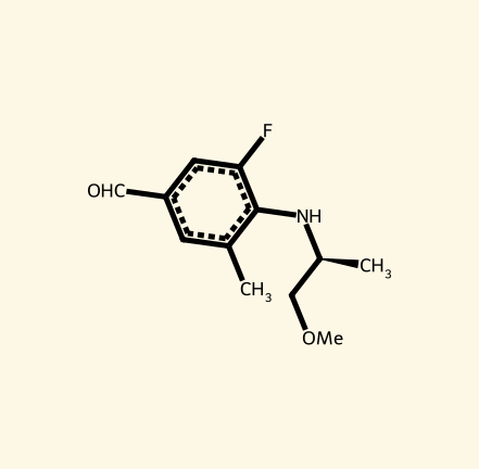 COC[C@H](C)Nc1c(C)cc(C=O)cc1F